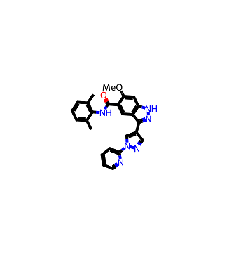 COc1cc2[nH]nc(-c3cnn(-c4ccccn4)c3)c2cc1C(=O)Nc1c(C)cccc1C